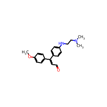 COc1ccc(C(=CC=O)c2ccc(NCCN(C)C)cc2)cc1